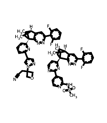 CC1(C)[C@H]2CC[C@@]1(c1ccnc(-c3ccnc(NS(C)(=O)=O)c3)n1)c1nnc(-c3c(F)cccc3F)cc12.CC1(C)[C@H]2CC[C@]1(c1cccc(-c3cnn(C4(CC#N)COC4)c3)n1)c1nnc(-c3c(F)cccc3F)cc12